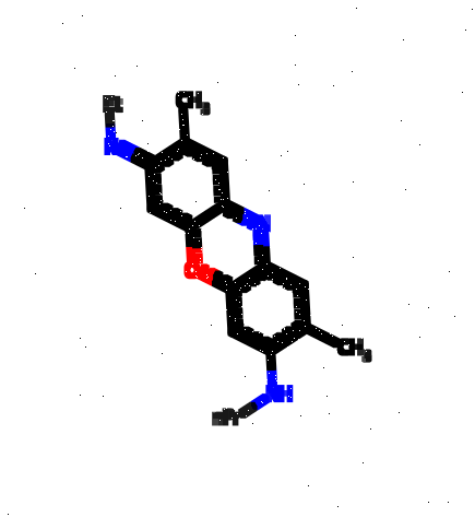 CCCNc1cc2oc3cc(=NCC)c(C)cc-3nc2cc1C